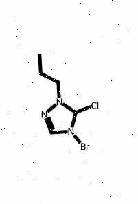 CCCN1N=CN(Br)C1Cl